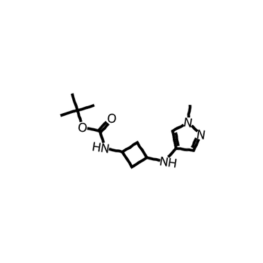 Cn1cc(NC2CC(NC(=O)OC(C)(C)C)C2)cn1